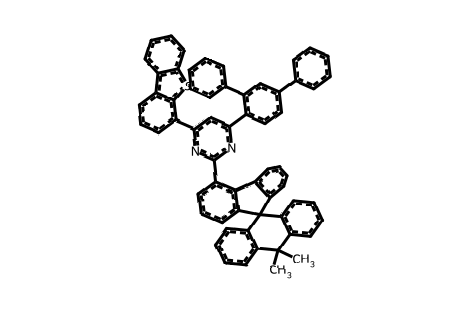 CC1(C)c2ccccc2C2(c3ccccc3-c3c(-c4nc(-c5ccc(-c6ccccc6)cc5-c5ccccc5)cc(-c5cccc6c5sc5ccccc56)n4)cccc32)c2ccccc21